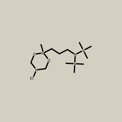 CCN1CO[Si](C)(CCCN([Si](C)(C)C)[Si](C)(C)C)OC1